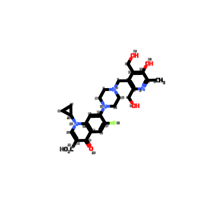 Cc1nc(CO)c(CN2CCN(c3cc4c(cc3F)c(=O)c(C(=O)O)cn4C3CC3)CC2)c(CO)c1O